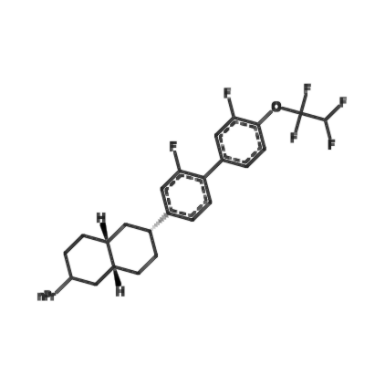 CCCC1CC[C@@H]2C[C@H](c3ccc(-c4ccc(OC(F)(F)C(F)F)c(F)c4)c(F)c3)CC[C@@H]2C1